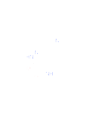 O=C(NC1CCc2ccccc21)c1cc(-c2ccncc2)n[nH]c1=O